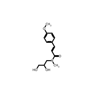 COc1ccc(/C=C/C(=O)N(C)CC(O)CO)cc1